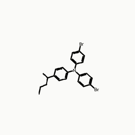 CCCC(C)c1ccc(N(c2ccc(Br)cc2)c2ccc(Br)cc2)cc1